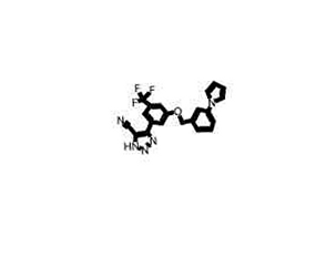 N#Cc1[nH]nnc1-c1cc(OCc2cccc(-n3cccc3)c2)cc(C(F)(F)F)c1